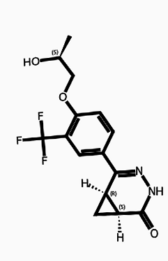 C[C@H](O)COc1ccc(C2=NNC(=O)[C@H]3C[C@@H]23)cc1C(F)(F)F